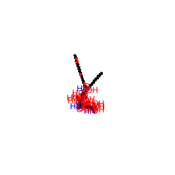 CCCCCCCCCCCCC/C=C/[C@@H](O)[C@H](CO[C@@H]1OC(CO)[C@@H](O[C@@H]2OC(CO)[C@H](O)[C@H](O[C@@H]3OC(CO)[C@@H](O[C@@H]4OC(CO)[C@H](O)[C@H](O[C@H]5OC(CO)[C@@H](O)[C@H](O)C5NC(C)=O)C4O)[C@H](O)C3NC(C)=O)C2O)[C@H](O)C1O)NC(=O)CCCCCCCCCCCCCCCCCCCCCCC